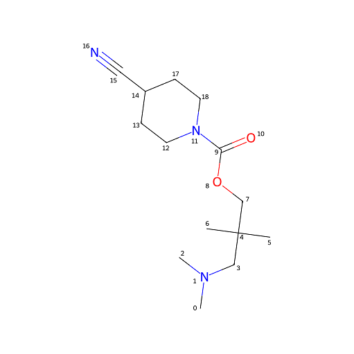 CN(C)CC(C)(C)COC(=O)N1CCC(C#N)CC1